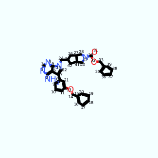 Nc1ncnc2c1c(-c1cccc(OCc3ccccc3)c1)cn2CC1CC2CN(C(=O)OCc3ccccc3)CC2C1